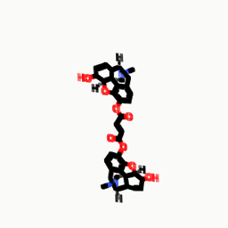 CN1CC[C@]23c4c5ccc(OC(=O)/C=C/C(=O)Oc6ccc7c8c6O[C@H]6C(O)C=CC9[C@@H](C7)N(C)CC[C@@]896)c4O[C@H]2C(O)C=CC3[C@H]1C5